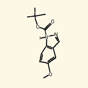 COc1ccc2c(c1)C=N[N+]2(I)C(=O)OC(C)(C)C